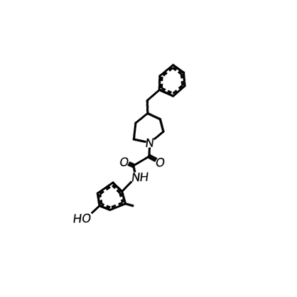 Cc1cc(O)ccc1NC(=O)C(=O)N1CCC(Cc2ccccc2)CC1